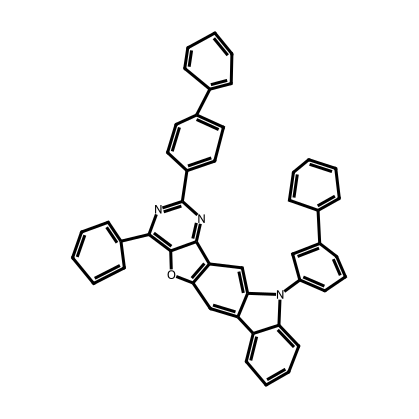 c1ccc(-c2ccc(-c3nc(-c4ccccc4)c4oc5cc6c7ccccc7n(-c7cccc(-c8ccccc8)c7)c6cc5c4n3)cc2)cc1